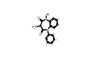 CC(C)N1C(=O)C(N)C(=O)N(c2ccccc2)c2ccccc21